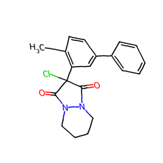 Cc1ccc(-c2ccccc2)cc1C1(Cl)C(=O)N2CCCCN2C1=O